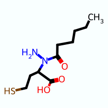 CCCCCC(=O)N(N)C(CCS)C(=O)O